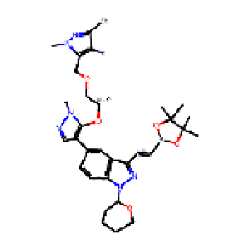 CCc1nn(C)c(COC[C@H](C)Oc2c(-c3ccc4c(c3)c(/C=C/B3OC(C)(C)C(C)(C)O3)nn4C3CCCCO3)cnn2C)c1I